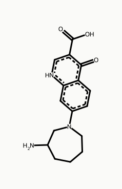 NC1CCCCN(c2ccc3c(=O)c(C(=O)O)c[nH]c3c2)C1